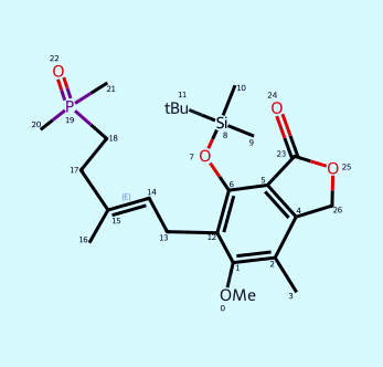 COc1c(C)c2c(c(O[Si](C)(C)C(C)(C)C)c1C/C=C(\C)CCP(C)(C)=O)C(=O)OC2